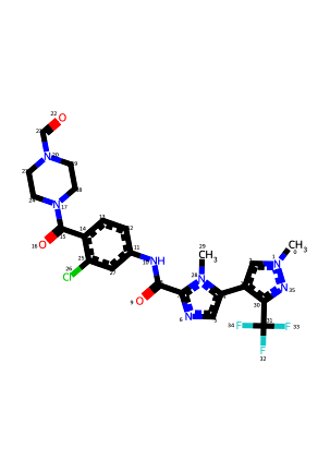 Cn1cc(-c2cnc(C(=O)Nc3ccc(C(=O)N4CCN(C=O)CC4)c(Cl)c3)n2C)c(C(F)(F)F)n1